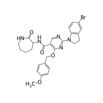 COc1ccc(COc2nc(N3CCc4cc(Br)ccc43)ncc2C(=O)NC2CCCCNC2=O)cc1